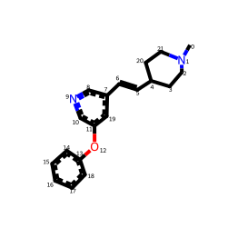 CN1CCC(C=Cc2cncc(Oc3ccccc3)c2)CC1